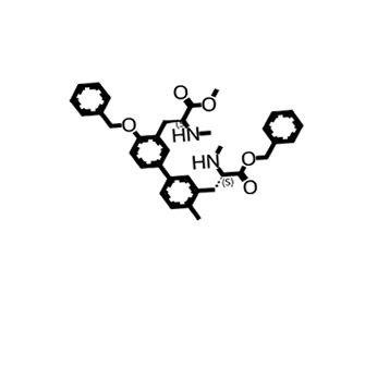 CN[C@@H](Cc1cc(-c2ccc(C)c(C[C@H](NC)C(=O)OCc3ccccc3)c2)ccc1OCc1ccccc1)C(=O)OC